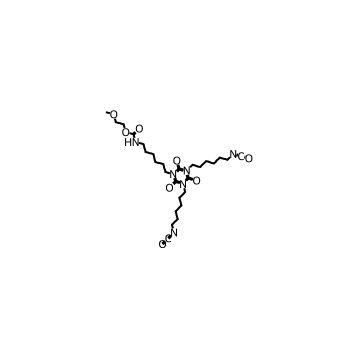 COCCOC(=O)NCCCCCCn1c(=O)n(CCCCCCN=C=O)c(=O)n(CCCCCCN=C=O)c1=O